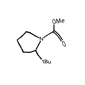 COC(=O)N1CCCC1C(C)(C)C